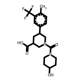 Cc1ccc(C2CC(C(=O)O)CN(C(=O)N3CCC(O)CC3)C2)cc1C(F)(F)F